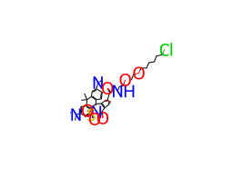 CN(C)c1ccc2c(c1)C(C)(C)c1cc(N(C)C)ccc1C21c2cc(C(=O)NCCOCCOCCCCCCCl)ccc2C(=O)N1S(C)(=O)=O